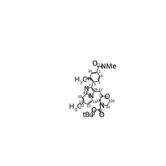 CNC(=O)c1ccc(-c2nc3cc(C)ccn3c2CC2CN(C(=O)OC(C)(C)C)CCO2)c(C)c1